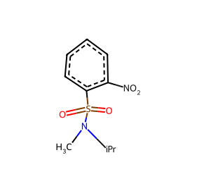 CC(C)N(C)S(=O)(=O)c1ccccc1[N+](=O)[O-]